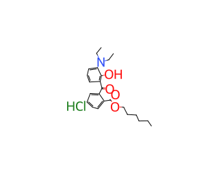 CCCCCCOC(=O)c1ccccc1C(=O)c1cccc(N(CC)CC)c1O.Cl